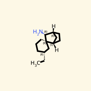 CC[C@@H]1CCC[C@@]2(C1)[C@H]1CC[C@H](C1)[C@H]2N